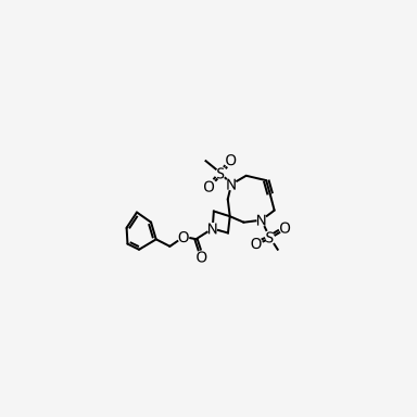 CS(=O)(=O)N1CC#CCN(S(C)(=O)=O)CC2(CN(C(=O)OCc3ccccc3)C2)C1